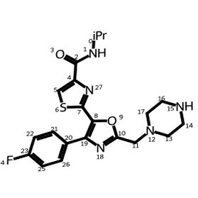 CC(C)NC(=O)c1csc(-c2oc(CN3CCNCC3)nc2-c2ccc(F)cc2)n1